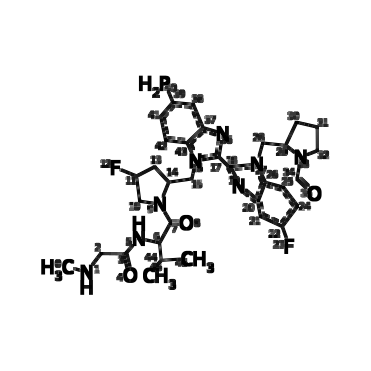 CNCC(=O)NC(C(=O)N1CC(F)CC1Cn1c(-c2nc3cc(F)ccc3n2CC2CCCN2C=O)nc2cc(P)ccc21)C(C)C